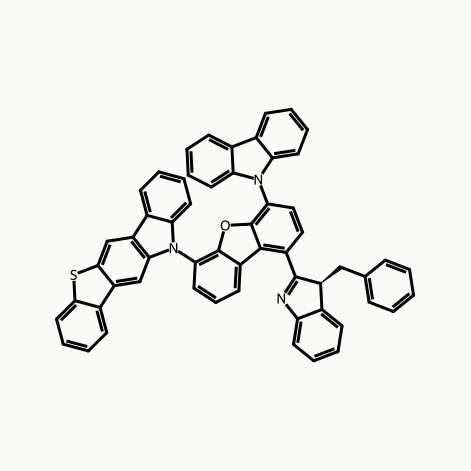 c1ccc(C[C@@H]2C(c3ccc(-n4c5ccccc5c5ccccc54)c4oc5c(-n6c7ccccc7c7cc8sc9ccccc9c8cc76)cccc5c34)=Nc3ccccc32)cc1